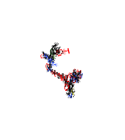 CCC(=O)N1CCN(c2nc(NCCC(=O)N(C)CCOCCOCCOCCOc3cc(-c4scnc4C)ccc3CNC(=O)[C@@H]3C[C@@H](O)CN3C(=O)[C@H](c3cc(C)no3)C(C)C)nc3c(F)c(-c4cc(O)cc5ccccc45)c(Cl)cc23)CC1